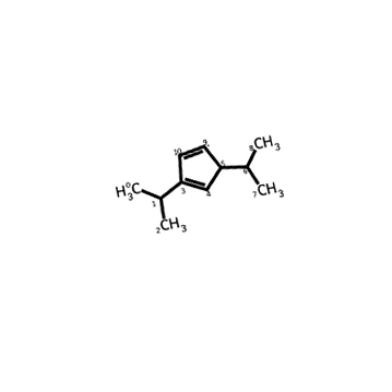 CC(C)C1=CC(C(C)C)[C]=C1